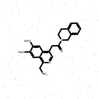 COc1cc2c(CC(=O)N3CCc4ccccc4C3)cnc(CN)c2cc1OC